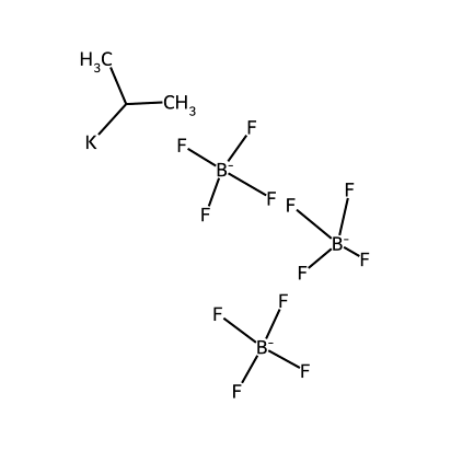 C[CH](C)[K].F[B-](F)(F)F.F[B-](F)(F)F.F[B-](F)(F)F